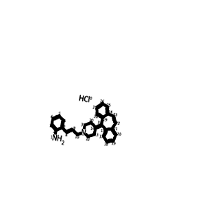 Cl.Nc1ccccc1/C=C/CN1CCC(=C2c3ccccc3C=Cc3ccccc32)CC1